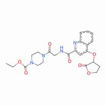 CCOC(=O)N1CCN(C(=O)CNC(=O)c2cc(OC3CCOC3=O)c3ccccc3n2)CC1